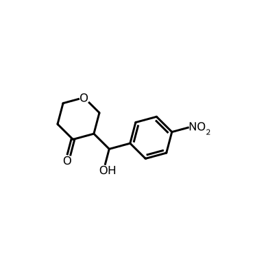 O=C1CCOCC1C(O)c1ccc([N+](=O)[O-])cc1